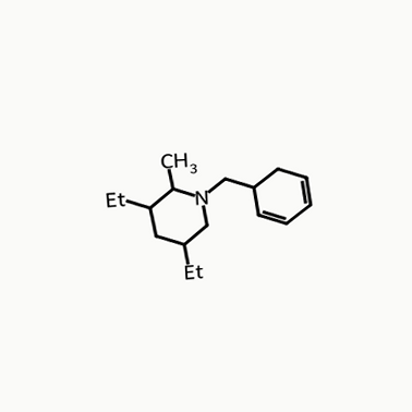 CCC1CC(CC)C(C)N(CC2C=CC=CC2)C1